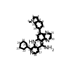 Cn1ccc2ccc(-c3cc(Nc4c(C(N)=O)ccnc4C4CCCCC4)cc4nccnc34)cc21